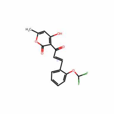 Cc1cc(O)c(C(=O)/C=C/c2ccccc2OC(F)F)c(=O)o1